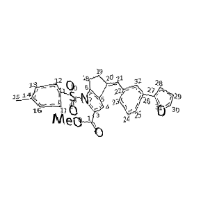 COC(=O)c1cc2c(n1S(=O)(=O)c1ccc(C)cc1)CCC2=Cc1cccc(-c2ccco2)c1